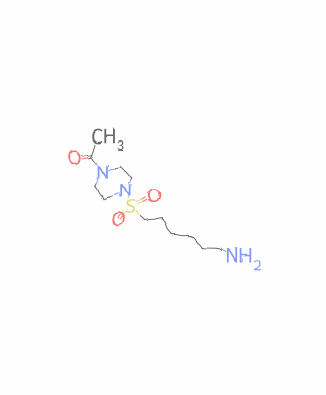 CC(=O)N1CCN(S(=O)(=O)CCCCCCN)CC1